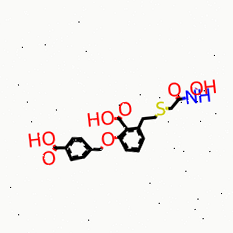 O=C(CSCCc1cccc(OCc2ccc(C(=O)O)cc2)c1C(=O)O)NO